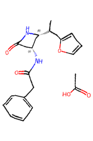 CC(=O)O.CC(c1ccco1)[C@H]1NC(=O)[C@H]1NC(=O)Cc1ccccc1